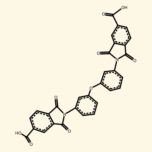 O=C(O)c1ccc2c(c1)C(=O)N(c1cccc(Oc3cccc(N4C(=O)c5ccc(C(=O)O)cc5C4=O)c3)c1)C2=O